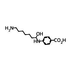 NCCCCCCC(O)Nc1ccc(C(=O)O)cc1